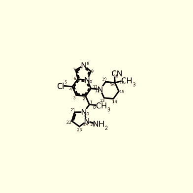 CC(c1cc(Cl)c2cncn2c1N1CCCC(C)(C#N)C1)N1C=CCN1N